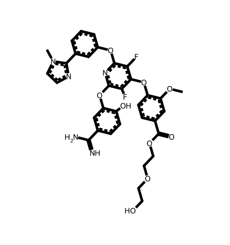 COc1cc(C(=O)OCCOCCO)ccc1Oc1c(F)c(Oc2cccc(-c3nccn3C)c2)nc(Oc2cc(C(=N)N)ccc2O)c1F